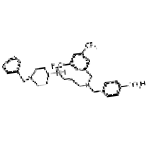 O=C(O)c1ccc(CN(CCCNC2CCN(Cc3ccccc3)CC2)Cc2cc(C(F)(F)F)cc(C(F)(F)F)c2)cc1